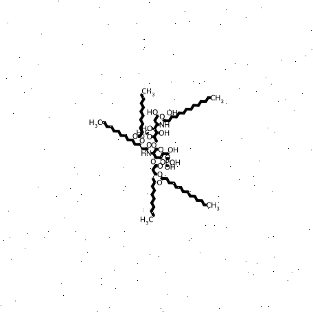 CCCCCCCCCCCCCC(=O)O[C@H](CCCCCCCCCCC)CC(=O)OC1C(NC(=O)C[C@@H](CCCCCCCCCCC)OC(=O)CCCCCCCCCCC)C(OCC(OC)C(O)C(O)C(CCO)NC(=O)C[C@H](O)CCCCCCCCCCC)OC(CO)C1OP(=O)(O)O